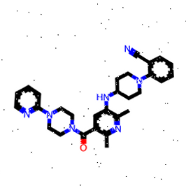 Cc1nc(C)c(C(=O)N2CCN(c3ccccn3)CC2)cc1NC1CCN(c2ccccc2C#N)CC1